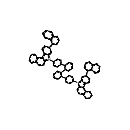 c1ccc(-c2ccccc2-c2ccc(-n3c4cc(-c5cccc6ccccc56)ccc4c4c5ccccc5ccc43)cc2)c(-c2ccc(-n3c4cc(-c5cccc6ccccc56)ccc4c4c5ccccc5ccc43)cc2)c1